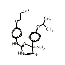 CC(C)Oc1ccc(C2(N)N=C(Nc3ccc(OCCO)cc3)NC=C2F)cc1